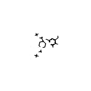 CCc1cc(C[C@@]2(C(=O)OC(C)(C)C)CCN(C(=O)OC(C)(C)C)[C@H](C)C2)nc(Cl)c1F